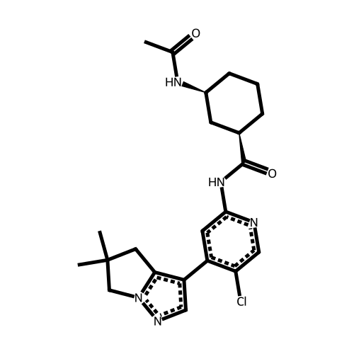 CC(=O)N[C@H]1CCC[C@@H](C(=O)Nc2cc(-c3cnn4c3CC(C)(C)C4)c(Cl)cn2)C1